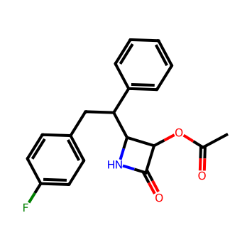 CC(=O)OC1C(=O)NC1C(Cc1ccc(F)cc1)c1ccccc1